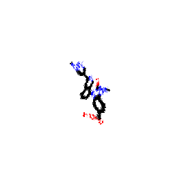 Cn1cc(-c2cc3cccc(-n4c(=O)n(C)c5ccc(C(=O)O)cc54)c3cn2)cn1